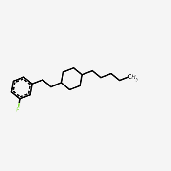 CCCCCC1CCC(CCc2cccc(F)c2)CC1